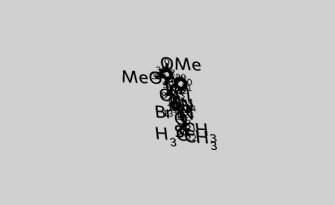 COc1ccc(CN(C(=O)Cn2cc(Br)c3c(OCC[Si](C)(C)C)ncnc32)c2ccccc2Cl)c(OC)c1